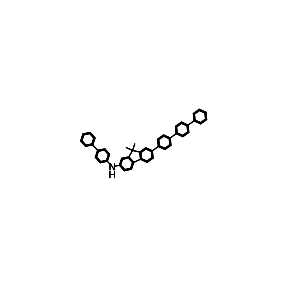 CC1(C)c2cc(Nc3ccc(-c4ccccc4)cc3)ccc2-c2ccc(-c3ccc(-c4ccc(-c5ccccc5)cc4)cc3)cc21